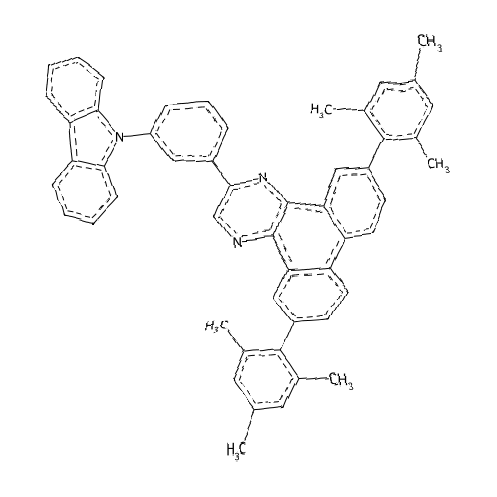 Cc1cc(C)c(-c2ccc3c4ccc(-c5c(C)cc(C)cc5C)cc4c4nc(-c5cccc(-n6c7ccccc7c7ccccc76)c5)cnc4c3c2)c(C)c1